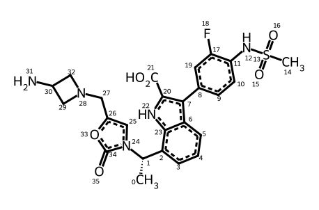 C[C@@H](c1cccc2c(-c3ccc(NS(C)(=O)=O)c(F)c3)c(C(=O)O)[nH]c12)n1cc(CN2CC(N)C2)oc1=O